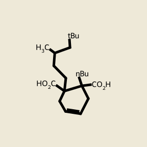 CCCCC1(C(=O)O)CC=CCC1(CCC(C)CC(C)(C)C)C(=O)O